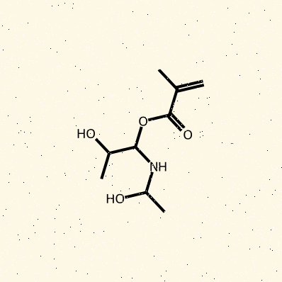 C=C(C)C(=O)OC(NC(C)O)C(C)O